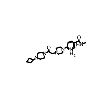 C=C(/C=C\C(=C/N)C(=O)NC)N1CCN(CC(=O)N2CCN(C3CCC3)CC2)CC1